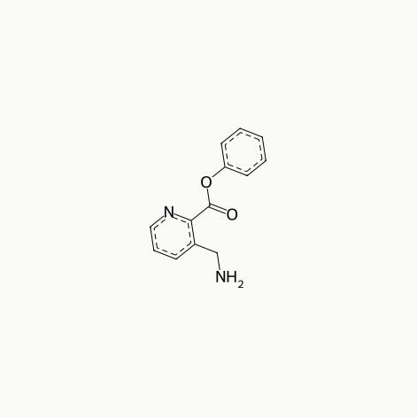 NCc1cccnc1C(=O)Oc1ccccc1